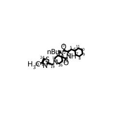 CCCCN1C(=O)C(CC2CCCCC2)NC(=O)C12CCN(Cc1nc(C)cs1)CC2